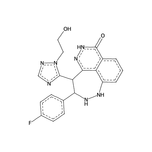 O=c1[nH]nc2c3c(cccc13)NNC(c1ccc(F)cc1)C2c1ncnn1CCO